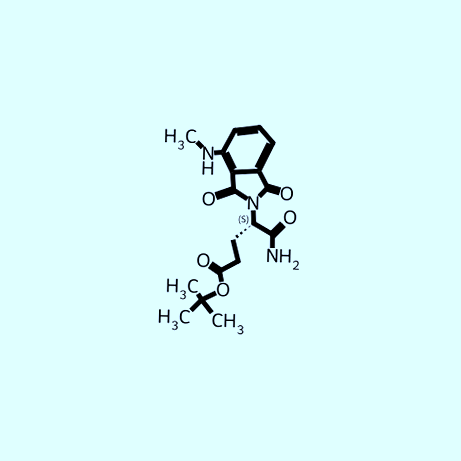 CNc1cccc2c1C(=O)N([C@@H](CCC(=O)OC(C)(C)C)C(N)=O)C2=O